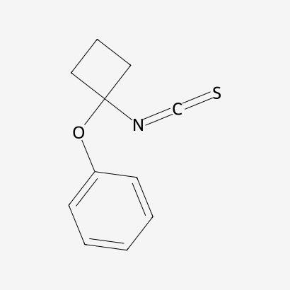 S=C=NC1(Oc2ccccc2)CCC1